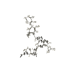 O[C@H]1CNCC[C@@H]1CNc1cc(NCc2ccc(-c3ccccc3)cc2F)n2ncc(C3CC3)c2n1